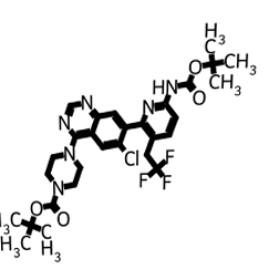 CC(C)(C)OC(=O)Nc1ccc(CC(F)(F)F)c(-c2cc3ncnc(N4CCN(C(=O)OC(C)(C)C)CC4)c3cc2Cl)n1